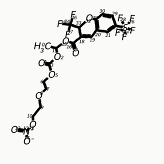 CC(OC(=O)OCCOCCO[N+](=O)[O-])OC(=O)C1=Cc2cc(S(F)(F)(F)(F)F)ccc2OC1C(F)(F)F